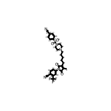 CC1=C(CCCCCN2CCN(S(=O)(=O)c3ccc(C#N)cc3)CC2)C(=O)N(c2ccc(C#N)c(C(F)(F)F)c2)C1=O